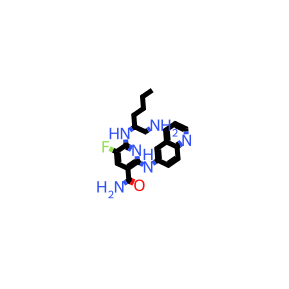 CCCCC(CN)Nc1nc(Nc2ccc3ncccc3c2)c(C(N)=O)cc1F